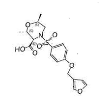 C[C@@H]1O[C@@H](C)CN(S(=O)(=O)c2ccc(OCc3ccoc3)cc2)[C@H]1C(=O)O